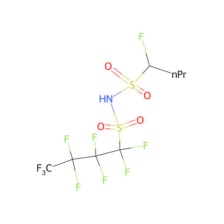 CCCC(F)S(=O)(=O)NS(=O)(=O)C(F)(F)C(F)(F)C(F)(F)C(F)(F)F